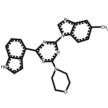 Cc1ccc2c(c1)ncn2-c1nc(-c2cccc3[nH]ccc23)nc(N2CCOCC2)n1